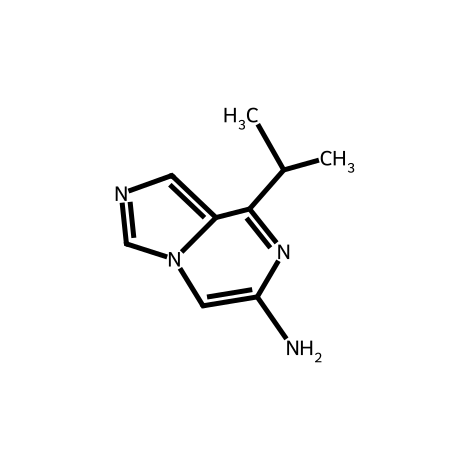 CC(C)c1nc(N)cn2cncc12